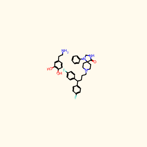 NCCc1ccc(O)c(O)c1.O=C1NCN(c2ccccc2)C12CCN(CCCC(c1ccc(F)cc1)c1ccc(F)cc1)CC2